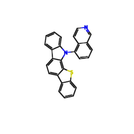 c1cc(-n2c3ccccc3c3ccc4c5ccccc5sc4c32)c2ccncc2c1